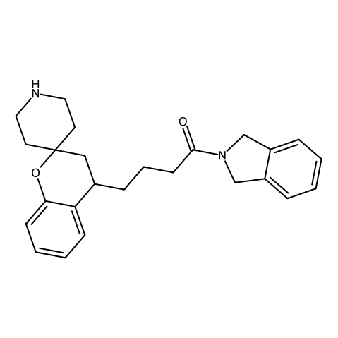 O=C(CCCC1CC2(CCNCC2)Oc2ccccc21)N1Cc2ccccc2C1